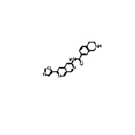 O=C(Nc1cc2cc(-c3cnco3)ncc2cn1)c1ccc2c(c1)CNCC2